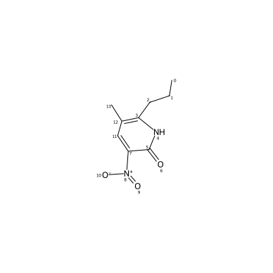 CCCc1[nH]c(=O)c([N+](=O)[O-])cc1C